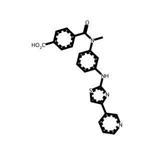 CN(C(=O)c1ccc(C(=O)O)cc1)c1cccc(Nc2nc(-c3cccnc3)cs2)c1